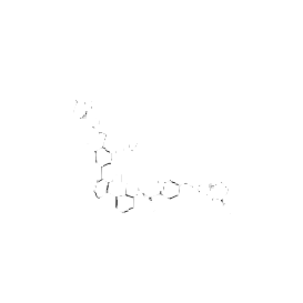 COc1cc(-c2nccc(-c3cccc(NC(=O)c4ccc(CNC[C@@H]5CCC(=O)N5)cn4)c3C)c2Cl)cc(F)c1CNC[C@@H]1CCC(=O)N1